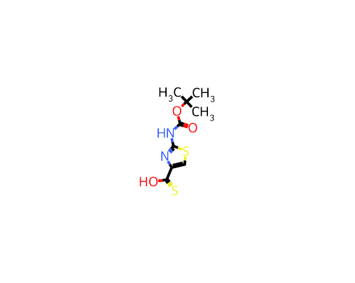 CC(C)(C)OC(=O)Nc1nc(C(O)=S)cs1